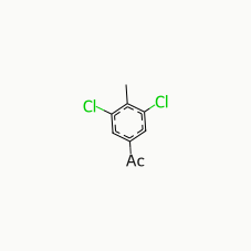 CC(=O)c1cc(Cl)c(C)c(Cl)c1